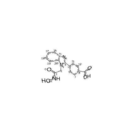 O=C(Cn1c(-c2ccc(C(=O)O)cc2)nc2ccccc21)NO